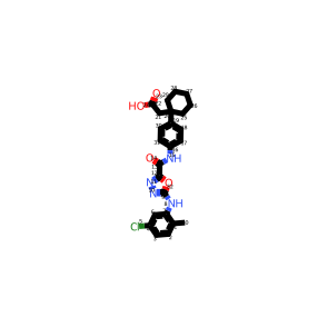 Cc1ccc(Cl)cc1Nc1nnc(C(=O)Nc2ccc(C3(CC(=O)O)CCCCC3)cc2)o1